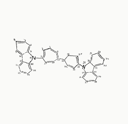 C1=CC=C(n2c3ccccc3c3ccccc32)C=CC=1C1C=CC(n2c3ccccc3c3ccccc32)=CC1